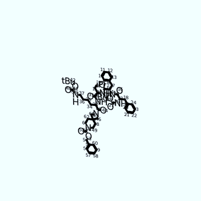 CC(C)CC(NC(=O)C(Cc1ccccc1)NC(=O)C(Cc1ccccc1)NC(=O)OC(C)(C)C)C(=O)NC(CCCCNC(=O)OC(C)(C)C)C(=O)N1CC2(CCN(C(=O)OCc3ccccc3)CC2)C1